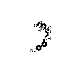 N#Cc1ccc(-c2cccc(CNCCC3CN(c4ccc5c(n4)NC(=O)CO5)C(=O)O3)c2)cc1